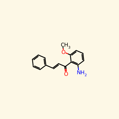 COc1cccc(N)c1C(=O)C=Cc1ccccc1